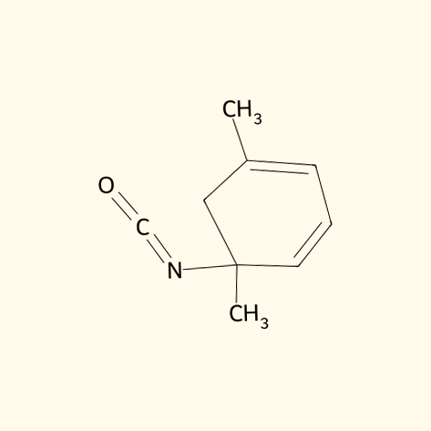 CC1=CC=CC(C)(N=C=O)C1